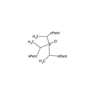 CCCCCC(C)[Si]([O])(C(C)CCCCC)C(C)CCCCC